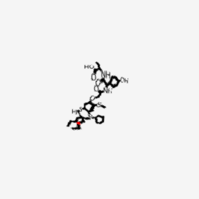 CCCCC1(CCCC)CN(c2ccccc2)c2cc(SC)c(OCC(=O)NC(C(=O)NC(CC)C(=O)O)c3ccc(O)cc3)cc2SN1